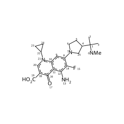 CNC(C)(C)C1CCN(c2cc3c(c(N)c2F)c(=O)c(C(=O)O)cn3C2CC2)C1